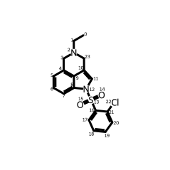 CCN1Cc2cccc3c2c(cn3S(=O)(=O)c2ccccc2Cl)C1